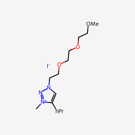 CCCc1cn(CCOCCOCCOC)n[n+]1C.[I-]